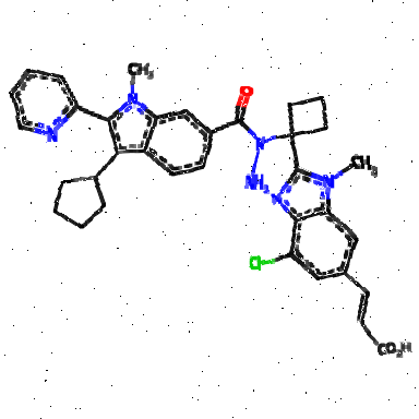 Cn1c(-c2ccccn2)c(C2CCCC2)c2ccc(C(=O)N(N)C3(c4nc5c(Cl)cc(/C=C/C(=O)O)cc5n4C)CCC3)cc21